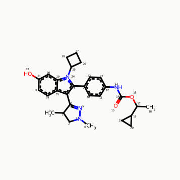 CC1CN(C)N=C1c1c(-c2ccc(NC(=O)OC(C)C3CC3)cc2)n(C2CCC2)c2cc(O)ccc12